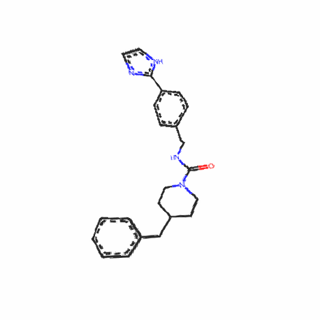 O=C(NCc1ccc(-c2ncc[nH]2)cc1)N1CCC(Cc2ccccc2)CC1